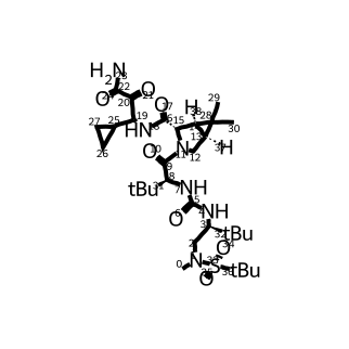 CN(C[C@@H](NC(=O)N[C@H](C(=O)N1C[C@H]2[C@@H]([C@H]1C(=O)NC(C(=O)C(N)=O)C1CC1)C2(C)C)C(C)(C)C)C(C)(C)C)S(=O)(=O)C(C)(C)C